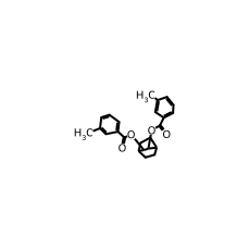 Cc1cccc(C(=O)OC2C3CCC(CC3)C2OC(=O)c2cccc(C)c2)c1